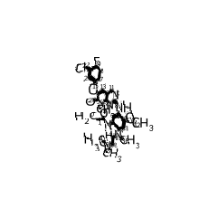 C=CC(=O)Nc1cc(Nc2ncc3cc(Oc4ccc(F)c(Cl)c4)c(=O)n(C)c3n2)c(OC)cc1N(C)CCN(C)C